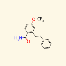 NC(=O)c1ccc(OC(F)(F)F)cc1CCc1ccccc1